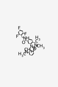 CC1c2ccc(C(=O)NCc3c(F)cc(F)cc3F)cc2N(Cc2c(F)cccc2N(C)C)C(=O)N1C